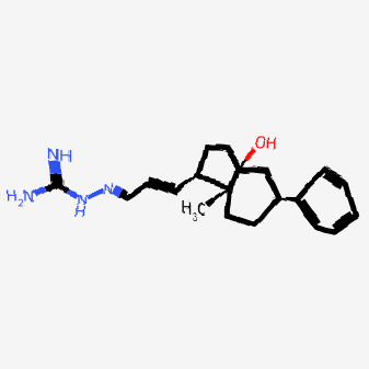 C[C@]12CC[C@H](c3ccccc3)C[C@@]1(O)CC[C@@H]2/C=C/C=N/NC(=N)N